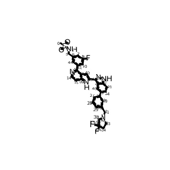 CS(=O)(=O)NCc1cc(F)cc(-c2nccc3[nH]c(-c4n[nH]c5ccc(-c6cccc(CN7CCC(F)(F)C7)c6)cc45)cc23)c1